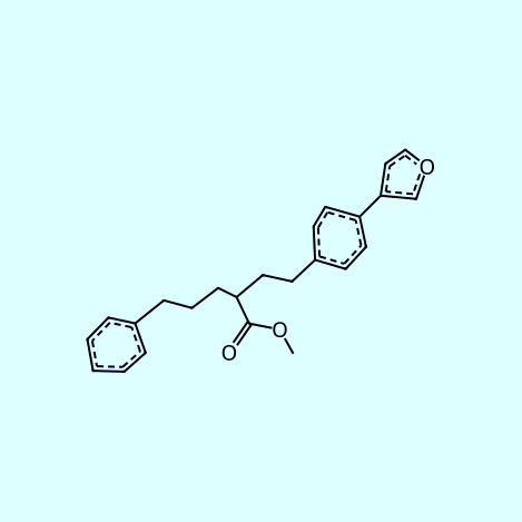 COC(=O)C(CCCc1ccccc1)CCc1ccc(-c2ccoc2)cc1